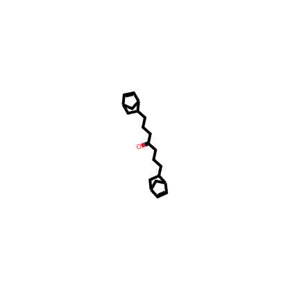 O=C(CCCC1CC2C=CC1C2)CCCC1CC2C=CC1C2